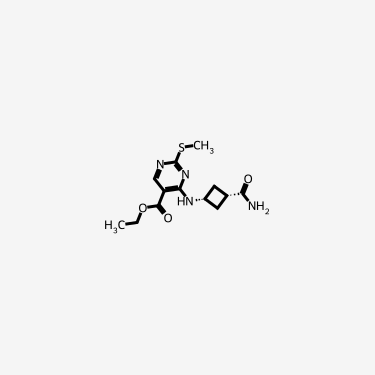 CCOC(=O)c1cnc(SC)nc1N[C@H]1C[C@@H](C(N)=O)C1